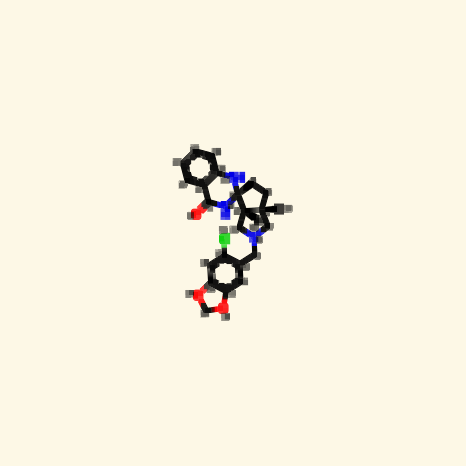 O=C1N[C@]2(CC[C@@H]3CN(Cc4cc5c(cc4Cl)OCO5)C[C@@H]32)Nc2ccccc21